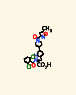 Cc1cc(C(=O)N2CC=C(c3ccc(C[C@H](NC(=O)c4c(Cl)cccc4Cl)C(=O)O)cc3)CC2)no1